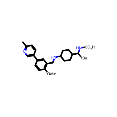 COc1ccc(-c2ccc(C)nc2)cc1CNC1CCC(C(NC(=O)O)C(C)(C)C)CC1